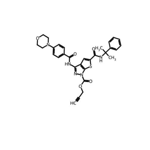 C#CCOC(=O)n1nc(NC(=O)c2ccc(N3CCOCC3)cc2)c2cc(C(=O)NC(C)(C)c3ccccc3)sc21